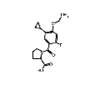 CCOc1cc(F)c(C(=O)N2CCCC2C(=O)O)cc1C1CC1